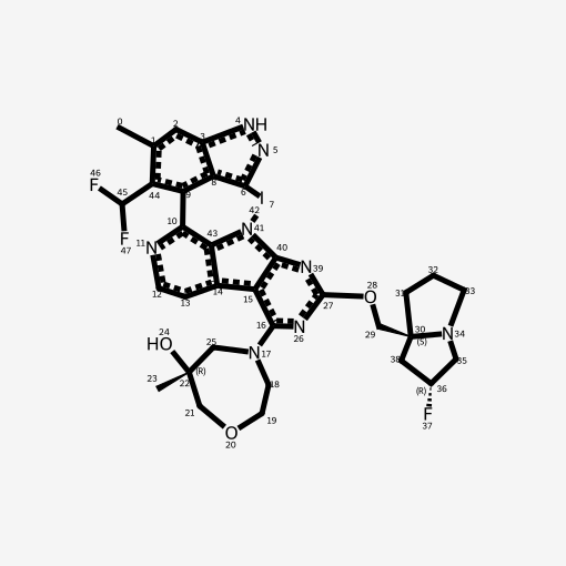 Cc1cc2[nH]nc(I)c2c(-c2nccc3c4c(N5CCOC[C@](C)(O)C5)nc(OC[C@@]56CCCN5C[C@H](F)C6)nc4n(C)c23)c1C(F)F